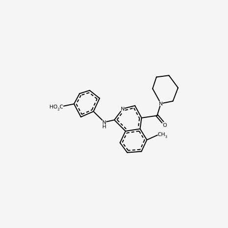 Cc1cccc2c(Nc3cccc(C(=O)O)c3)ncc(C(=O)N3CCCCC3)c12